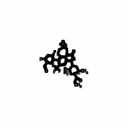 C=CC(=O)N1C[C@H](C)N(c2nc(=O)n3c4c(c(-c5cc(C=O)c(F)cc5F)c(C(F)(F)F)cc24)SCC2(COC2)C3)C[C@H]1C